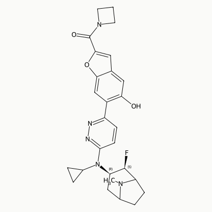 CN1C2CCC1[C@H](F)[C@H](N(c1ccc(-c3cc4oc(C(=O)N5CCC5)cc4cc3O)nn1)C1CC1)C2